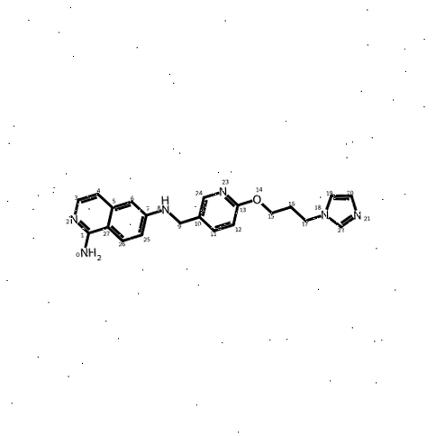 Nc1nccc2cc(NCc3ccc(OCCCn4ccnc4)nc3)ccc12